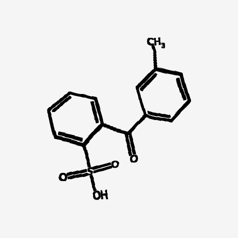 Cc1cccc(C(=O)c2ccccc2S(=O)(=O)O)c1